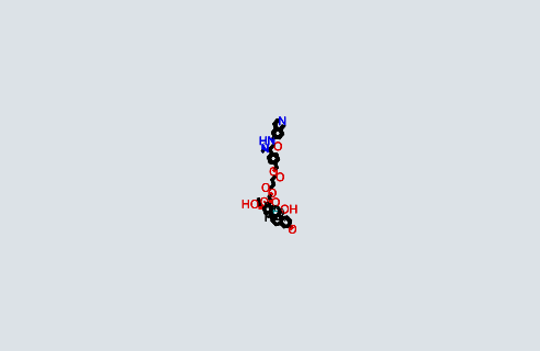 CN(C)C(C(=O)Nc1ccc2cnccc2c1)c1ccc(COC(=O)CCC(=O)OCC(=O)[C@@]2(OC(C)(C)O)CC[C@H]3[C@@H]4CCC5=CC(=O)C=C[C@]5(C)[C@@]4(F)[C@@H](O)C[C@@]32C)cc1